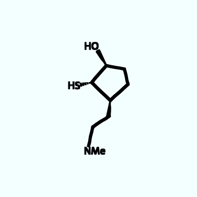 CNCC[C@@H]1CC[C@H](O)[C@H]1S